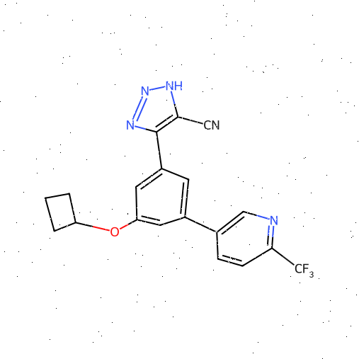 N#Cc1[nH]nnc1-c1cc(OC2CCC2)cc(-c2ccc(C(F)(F)F)nc2)c1